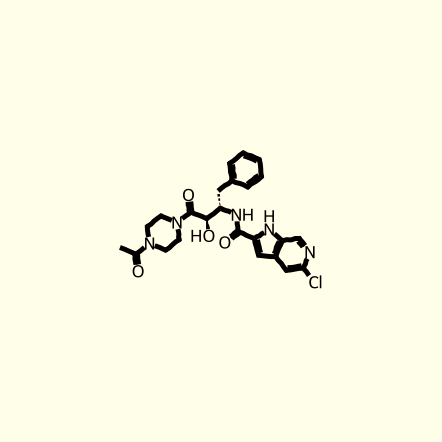 CC(=O)N1CCN(C(=O)[C@H](O)[C@H](Cc2ccccc2)NC(=O)c2cc3cc(Cl)ncc3[nH]2)CC1